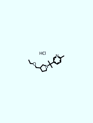 CCOCC1CCN(C(C)(C)c2ccc(C)nc2)C1.Cl